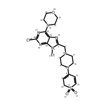 CCn1c(CN2CCN(C3=CCS(=O)(=O)C=C3)CC2)nc2c(N3CCOCC3)nc(Cl)nc21